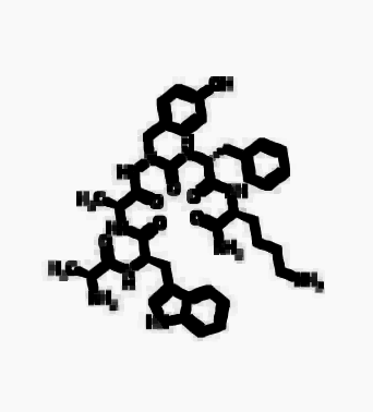 C[C@H](N)C(=O)N[C@H](Cc1c[nH]c2ccccc12)C(=O)N[C@@H](C)C(=O)NN(Cc1ccc(O)cc1)C(=O)N[C@H](Cc1ccccc1)C(=O)N[C@@H](CCCCN)C(N)=O